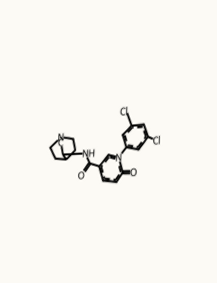 O=C(NC1CN2CCC1CC2)c1ccc(=O)n(-c2cc(Cl)cc(Cl)c2)c1